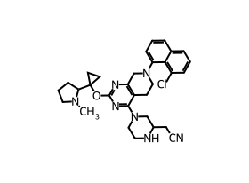 CN1CCCC1C1(Oc2nc3c(c(N4CCNC(CC#N)C4)n2)CCN(c2cccc4cccc(Cl)c24)C3)CC1